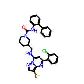 O=C(Nc1ccccc1-c1ccccc1)N1CCCC(CNc2cc(-c3ccccc3Cl)nc3c(Br)cnn23)C1